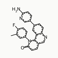 Cc1cc(-n2c(=O)ccc3cnc4ccc(-c5ccc(N)nc5)cc4c32)ccc1F